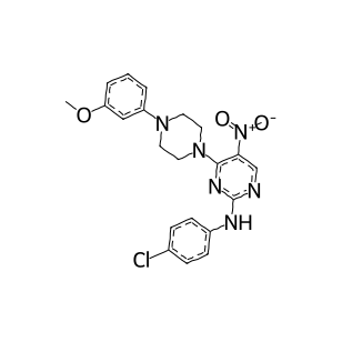 COc1cccc(N2CCN(c3nc(Nc4ccc(Cl)cc4)ncc3[N+](=O)[O-])CC2)c1